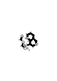 Brc1cncc2cccnc12.CCOC=O